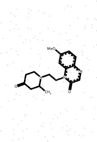 COc1ccc2ncc(=O)n(CCN3CCC(=O)CC3C)c2c1